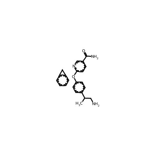 CC(CN)c1ccc(Oc2ccc(C(N)=O)cn2)cc1.c1ccc2c(c1)C2